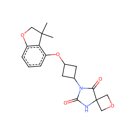 CC1(C)COc2cccc(OC3CC(N4C(=O)NC5(COC5)C4=O)C3)c21